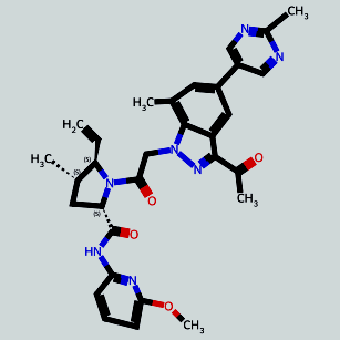 C=C[C@@H]1[C@@H](C)C[C@@H](C(=O)Nc2cccc(OC)n2)N1C(=O)Cn1nc(C(C)=O)c2cc(-c3cnc(C)nc3)cc(C)c21